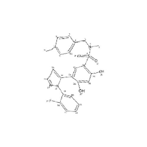 Cc1ccc(CN(C)S(=O)(=O)c2cc(-c3ccnn3-c3ccccc3F)c(O)cc2O)cc1